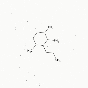 CCCC1C(C)CCC(C)C1P